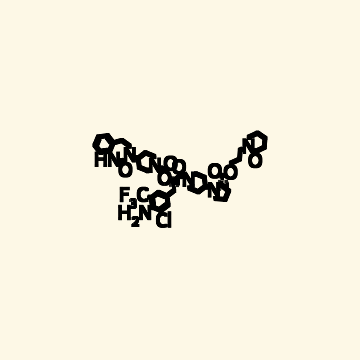 Nc1c(Cl)cc(C[C@@H](OC(=O)N2CCC(N3CCc4ccccc4NC3=O)CC2)C(=O)N2CCC(N3CCC[C@H]3C(=O)OCCCN3CCCCC3=O)CC2)cc1C(F)(F)F